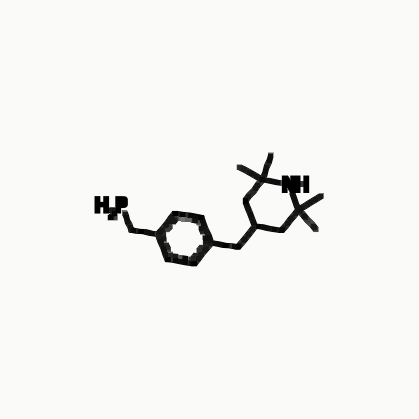 CC1(C)CC(Cc2ccc(CP)cc2)CC(C)(C)N1